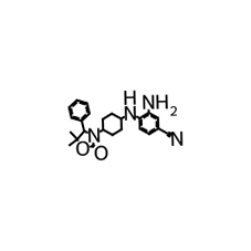 CC1(C)OC(=O)N(C2CCC(Nc3ccc(C#N)cc3N)CC2)C1c1ccccc1